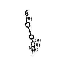 O=c1[nH]cnc(CC(CO)c2ccc(C#Cc3ccc(CN[C@@H]4CCOC4)cc3)cc2)c1O